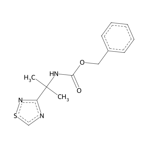 CC(C)(NC(=O)OCc1ccccc1)c1ncsn1